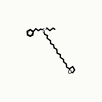 CCCC[S+](CCCCCCCCCCCCCCCC1CCCO1)CCCc1ccccc1